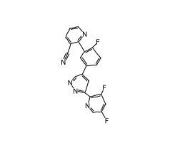 N#Cc1cccnc1-c1cc(-c2cnnc(-c3ncc(F)cc3F)c2)ccc1F